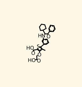 Cc1c(-c2cccc(NC(C(=O)c3ccccc3)C3CCCCC3)c2)sc(C(=O)O)c1OCC(=O)O